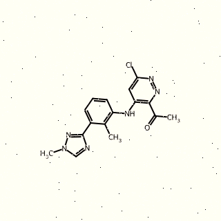 CC(=O)c1nnc(Cl)cc1Nc1cccc(-c2ncn(C)n2)c1C